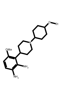 CCOC1CCC(N2CCC(c3c(OC)ccc(N)c3N)CC2)CC1